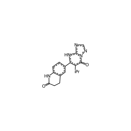 CC(C)c1c(-c2ccc3c(c2)CCC(=O)N3)[nH]c2ncnn2c1=O